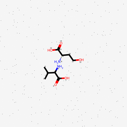 CC(C)C(N)C(=O)O.N[C@@H](CCO)C(=O)O